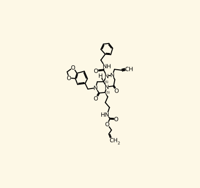 C#CCN1CC(=O)N2[C@@H](CCCNC(=O)OCC=C)C(=O)N(Cc3ccc4c(c3)OCO4)C[C@@H]2N1C(=O)NCc1ccccc1